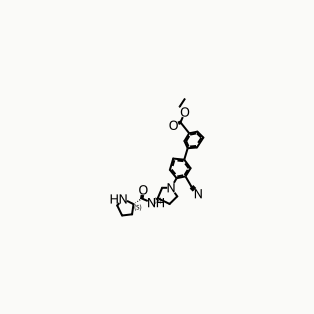 CCOC(=O)c1cccc(-c2ccc(N3CC[C@H](NC(=O)[C@@H]4CCCN4)C3)c(C#N)c2)c1